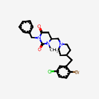 CN1C(=O)N(Cc2ccccc2)C(=O)CC1CN1CCC(Cc2cc(Cl)ccc2Br)CC1